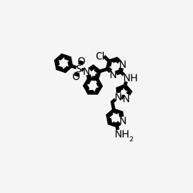 Nc1ccc(Cn2cc(Nc3ncc(Cl)c(-c4cn(S(=O)(=O)c5ccccc5)c5ccccc45)n3)cn2)cn1